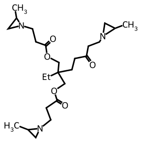 CCC(CCC(=O)CCN1CC1C)(COC(=O)CCN1CC1C)COC(=O)CCN1CC1C